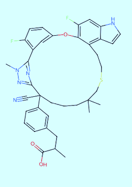 CC(Cc1cccc(C2(C#N)CCCC(C)(C)CSCCc3c(c(F)cc4[nH]ccc34)Oc3ccc(F)c(c3)-c3nc2nn3C)c1)C(=O)O